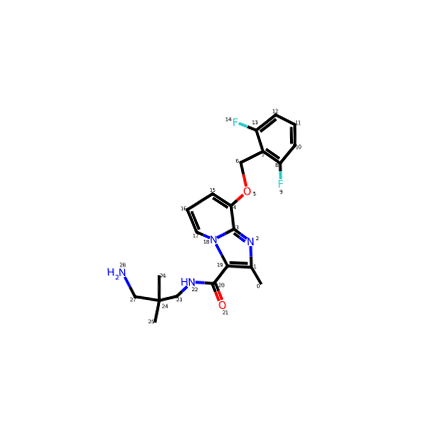 Cc1nc2c(OCc3c(F)cccc3F)cccn2c1C(=O)NCC(C)(C)CN